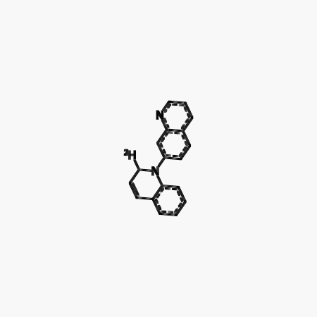 [2H]C1C=Cc2ccccc2N1c1ccc2cccnc2c1